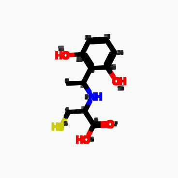 CC(NC(CS)C(=O)O)c1c(O)cccc1O